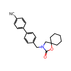 N#Cc1ccc(-c2ccc(CN3CC4(CCCCC4)OC3=O)cc2)cc1